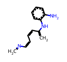 C=N/C=C\C=C/C(=C)Nc1ccccc1N